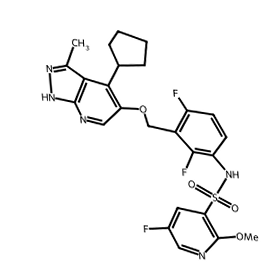 COc1ncc(F)cc1S(=O)(=O)Nc1ccc(F)c(COc2cnc3[nH]nc(C)c3c2C2CCCC2)c1F